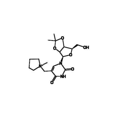 CC1(C)OC2C(O1)[C@@H](CO)O[C@H]2n1cc(C[N+]2(C)CCCC2)c(=O)[nH]c1=O